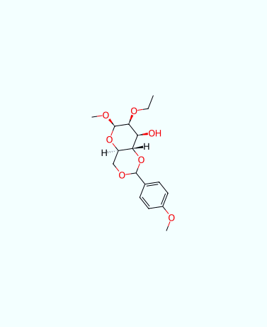 CCO[C@@H]1[C@H](OC)O[C@@H]2COC(c3ccc(OC)cc3)O[C@H]2[C@@H]1O